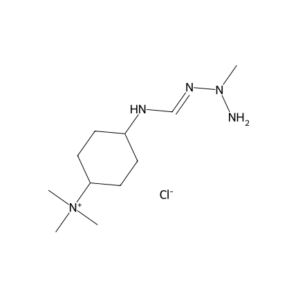 CN(N)/N=C/NC1CCC([N+](C)(C)C)CC1.[Cl-]